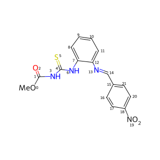 COC(=O)NC(=S)Nc1ccccc1N=Cc1ccc([N+](=O)[O-])cc1